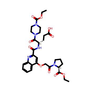 CCOC(=O)[C@@H]1CCCN1C(=O)COc1cc(C(=O)N[C@@H](CCC(=O)O)C(=O)N2CCN(C(=O)OCC)CC2)nc2ccccc12